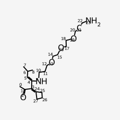 CC(=O)C(C(=CC(C)C)NCCCOCCOCCOCCCN)=C1CCC1